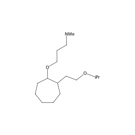 CNCCCOC1CCCCCC1CCOC(C)C